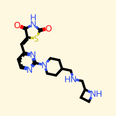 O=C1NC(=O)C(=Cc2ccnc(N3CCC(CNCC4CCN4)CC3)n2)S1